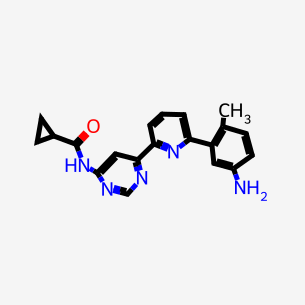 Cc1ccc(N)cc1-c1cccc(-c2cc(NC(=O)C3CC3)ncn2)n1